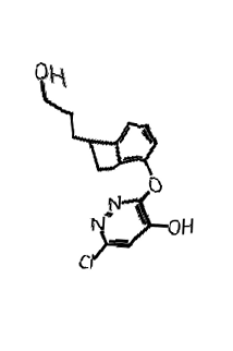 OCCCC1Cc2c(Oc3nnc(Cl)cc3O)cccc21